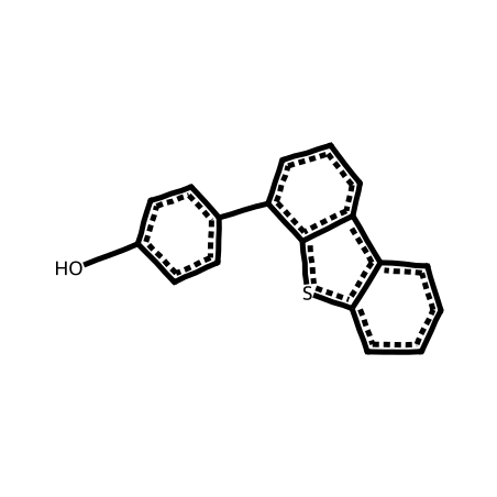 Oc1ccc(-c2cccc3c2sc2ccccc23)cc1